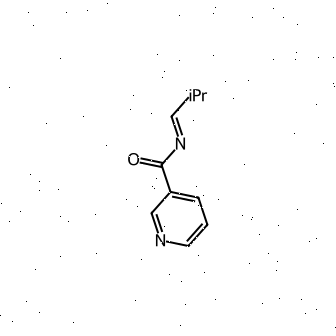 CC(C)C=NC(=O)c1cccnc1